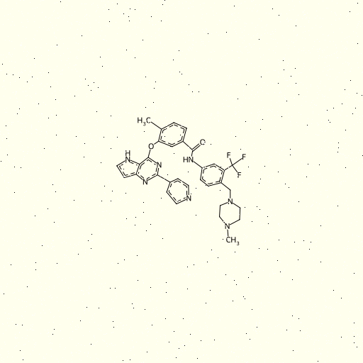 Cc1ccc(C(=O)Nc2ccc(CN3CCN(C)CC3)c(C(F)(F)F)c2)cc1Oc1nc(-c2ccncc2)nc2cc[nH]c12